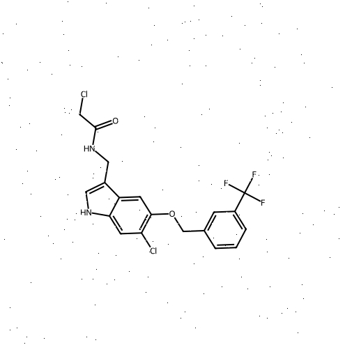 O=C(CCl)NCc1c[nH]c2cc(Cl)c(OCc3cccc(C(F)(F)F)c3)cc12